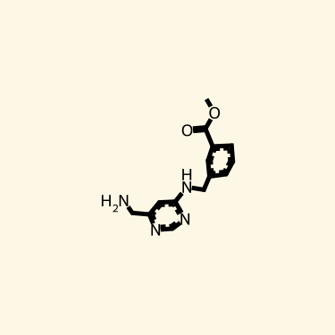 COC(=O)c1cccc(CNc2cc(CN)ncn2)c1